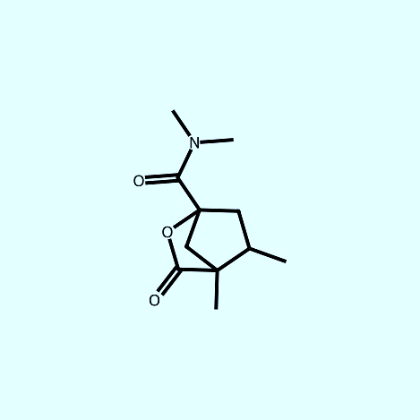 CC1CC2(C(=O)N(C)C)CC1(C)C(=O)O2